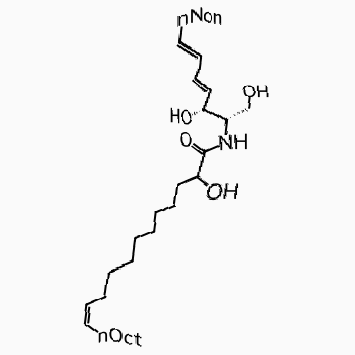 CCCCCCCC/C=C\CCCCCCCCC(O)C(=O)N[C@@H](CO)[C@H](O)/C=C/C=C/CCCCCCCCC